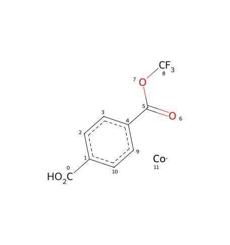 O=C(O)c1ccc(C(=O)OC(F)(F)F)cc1.[Co]